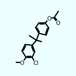 COc1ccc(C(C)(C)c2ccc(OC(C)=O)cc2)cc1Cl